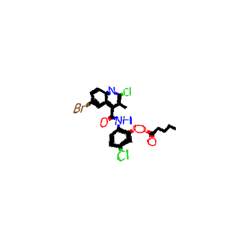 CCCCC(=O)Oc1cc(Cl)ccc1NC(=O)c1c(C)c(Cl)nc2ccc(Br)cc12